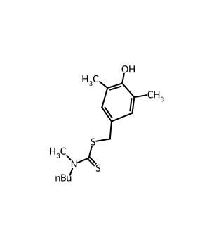 CCCCN(C)C(=S)SCc1cc(C)c(O)c(C)c1